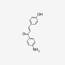 Nc1ccc(C(=O)C=Cc2ccc(O)cc2)cc1